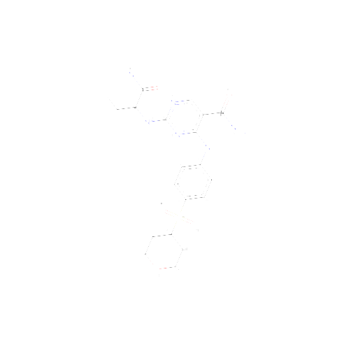 CC(C)CC(Nc1ncc(C(N)=O)c(Nc2ccc(S(=O)(=O)C3CCOCC3)cc2)n1)C(N)=O